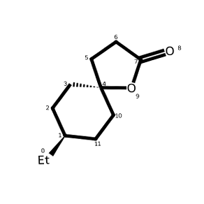 CC[C@H]1CC[C@@]2(CCC(=O)O2)CC1